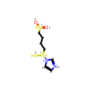 O=[SH](=O)CCCC[SH](S)n1ccnc1